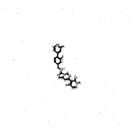 Cc1cc(-c2ccc(CNc3ncc4cc(-c5c(F)cnn(C)c5=O)ncn34)cc2C)ccn1